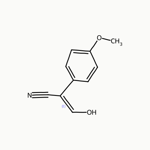 COc1ccc(/C(C#N)=C\O)cc1